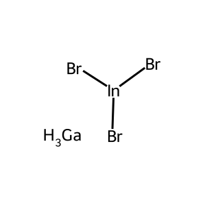 [Br][In]([Br])[Br].[GaH3]